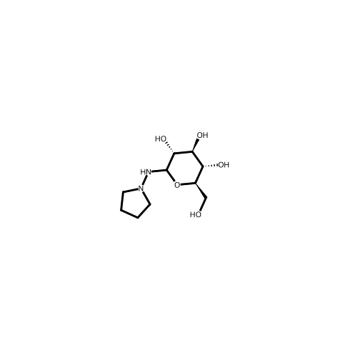 OC[C@H]1OC(NN2CCCC2)[C@H](O)[C@@H](O)[C@@H]1O